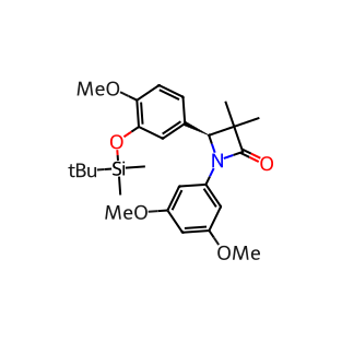 COc1cc(OC)cc(N2C(=O)C(C)(C)[C@@H]2c2ccc(OC)c(O[Si](C)(C)C(C)(C)C)c2)c1